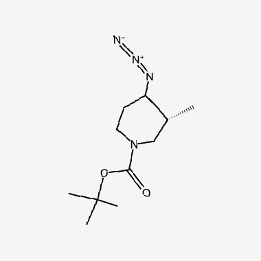 C[C@@H]1CN(C(=O)OC(C)(C)C)CCC1N=[N+]=[N-]